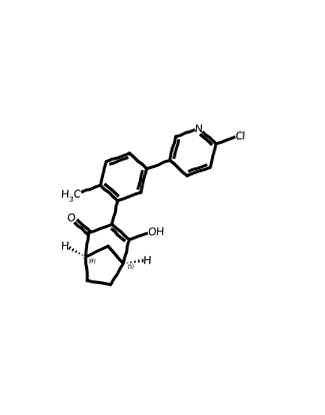 Cc1ccc(-c2ccc(Cl)nc2)cc1C1=C(O)[C@H]2CC[C@H](C2)C1=O